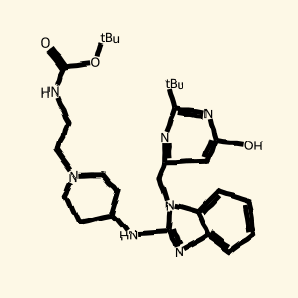 CC(C)(C)OC(=O)NCCN1CCC(Nc2nc3ccccc3n2Cc2cc(O)nc(C(C)(C)C)n2)CC1